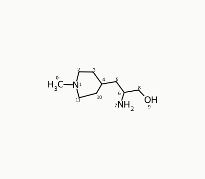 CN1CCC(CC(N)CO)CC1